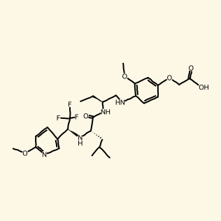 CC[C@@H](CNc1ccc(OCC(=O)O)cc1OC)NC(=O)[C@H](CC(C)C)N[C@@H](c1ccc(OC)nc1)C(F)(F)F